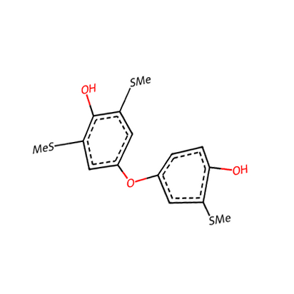 CSc1cc(Oc2cc(SC)c(O)c(SC)c2)ccc1O